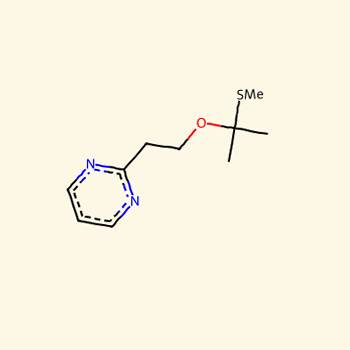 CSC(C)(C)OCCc1ncccn1